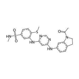 CNS(=O)(=O)c1ccc(SC)c(Nc2cc(Nc3ccc4c(c3)N(C(C)=O)CC4)ncn2)c1